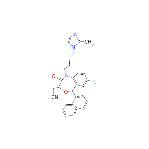 Cc1nccn1CCCCN1C(=O)C(CC#N)OC(c2cccc3ccccc23)c2cc(Cl)ccc21